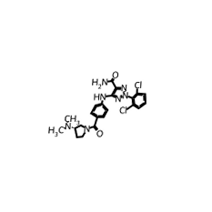 CN(C)[C@H]1CCN(C(=O)c2ccc(Nc3nn(-c4c(Cl)cccc4Cl)nc3C(N)=O)cc2)C1